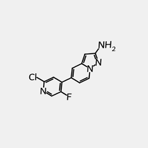 Nc1cc2cc(-c3cc(Cl)ncc3F)ccn2n1